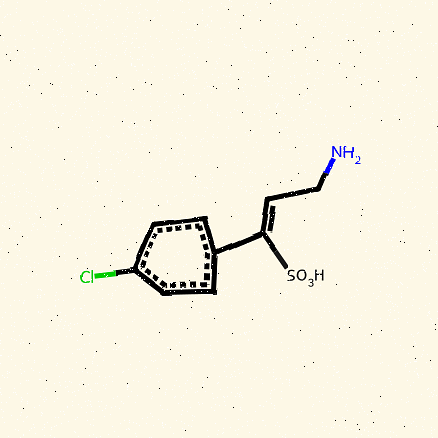 NCC=C(c1ccc(Cl)cc1)S(=O)(=O)O